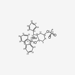 CC(C)(C)[Si](OC1CCC(OS(C)(=O)=O)CC1Cc1ccccc1)(c1ccccc1)c1ccccc1